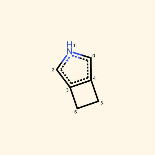 c1[nH]cc2c1CC2